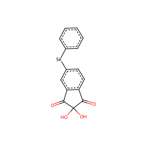 O=C1c2ccc([Se]c3ccccc3)cc2C(=O)C1(O)O